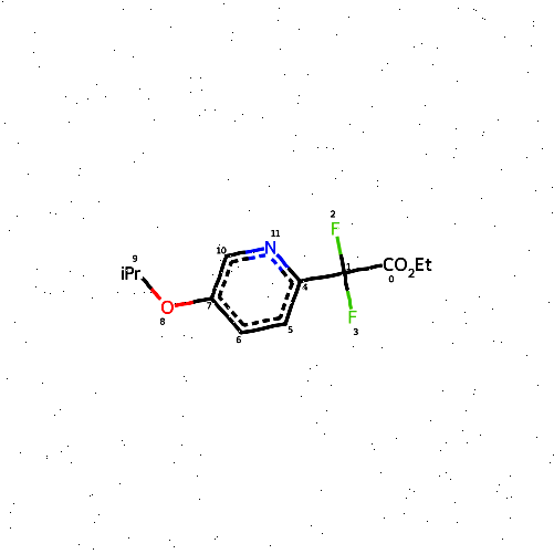 CCOC(=O)C(F)(F)c1ccc(OC(C)C)cn1